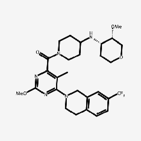 COc1nc(C(=O)N2CCC(N[C@H]3CCOC[C@H]3OC)CC2)c(C)c(N2CCc3ccc(C(F)(F)F)cc3C2)n1